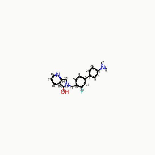 CN(C)c1ccc(-c2ccc(CN3Cc4ncccc4C3O)c(F)c2)cc1